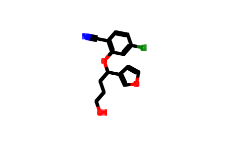 N#Cc1ccc(Cl)cc1OC(CCCO)c1ccoc1